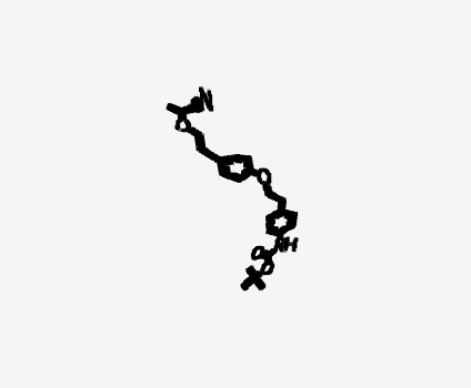 CC(C#N)OCCc1ccc(OCCc2ccc(NC(=O)OC(C)(C)C)cc2)cc1